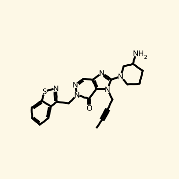 CC#CCn1c(N2CCCC(N)C2)nc2cnn(Cc3nsc4ccccc34)c(=O)c21